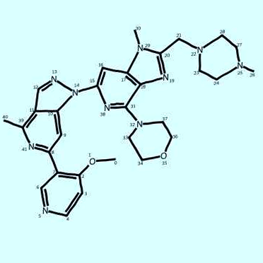 COc1ccncc1-c1cc2c(cnn2-c2cc3c(nc(CN4CCN(C)CC4)n3C)c(N3CCOCC3)n2)c(C)n1